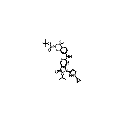 CC(C)n1c(=O)c2cnc(Nc3ccc4c(c3)CN(C(=O)OC(C)(C)C)CC4(C)C)nc2n1-c1ccn(C2CC2)n1